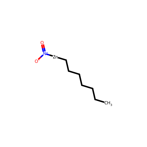 CCCCCC[CH2][Zn][N+](=O)[O-]